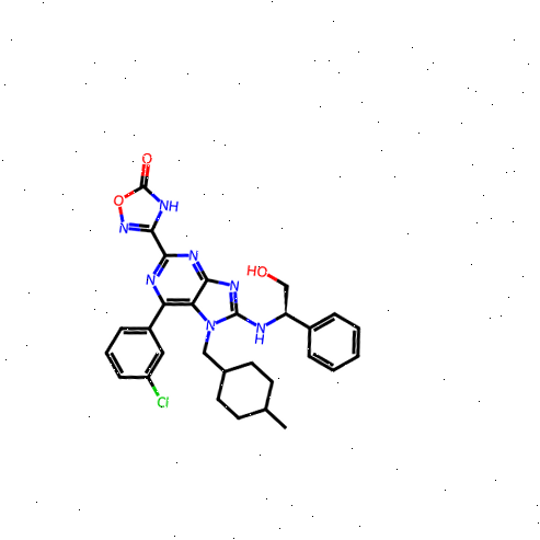 CC1CCC(Cn2c(N[C@@H](CO)c3ccccc3)nc3nc(-c4noc(=O)[nH]4)nc(-c4cccc(Cl)c4)c32)CC1